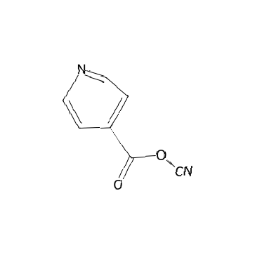 N#COC(=O)c1ccncc1